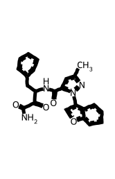 Cc1cc(C(=O)NC(Cc2ccccc2)C(=O)C(N)=O)n(-c2coc3ccccc23)n1